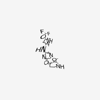 CO[C@H]1CNCC[C@@H]1Oc1cncc(Nc2cc(OC(F)F)[nH]n2)n1